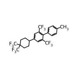 Cc1ccc(-c2c(C(F)(F)F)cc(C3CCC(C(F)(F)F)(C(F)(F)F)CC3)cc2C(F)(F)F)cc1